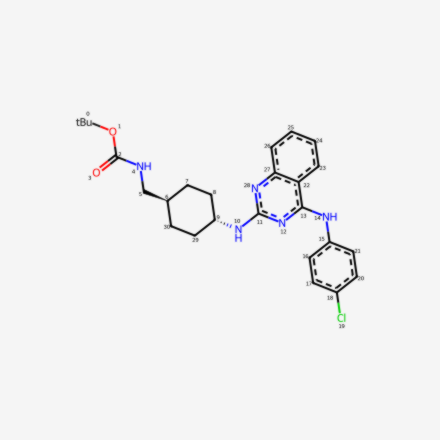 CC(C)(C)OC(=O)NC[C@H]1CC[C@H](Nc2nc(Nc3ccc(Cl)cc3)c3ccccc3n2)CC1